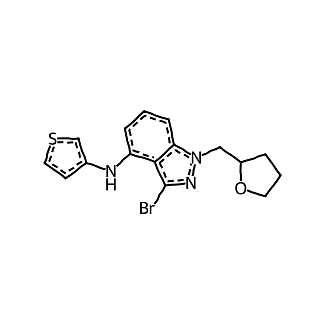 Brc1nn(CC2CCCO2)c2cccc(Nc3ccsc3)c12